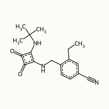 CCc1cc(C#N)ccc1CNc1c(NC(C)(C)C)c(=O)c1=O